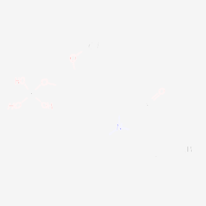 COc1cc2c(cc1OC(O)(O)O)CCN1CC(CC(C)C)C(=O)CC21